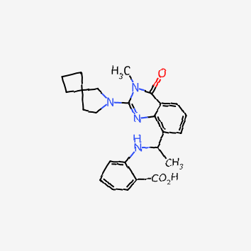 CC(Nc1ccccc1C(=O)O)c1cccc2c(=O)n(C)c(N3CCC4(CCC4)C3)nc12